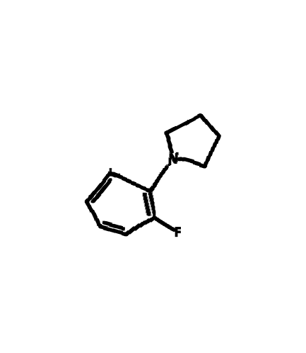 Fc1ccc[c]c1N1CCCC1